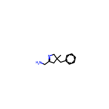 CC1(Cc2ccccc2)CN=C(CN)C1